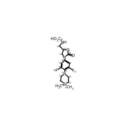 C[Si]1(C)CCN(c2c(F)cc(N3CC(CNC(=O)O)OC3=O)cc2F)CC1